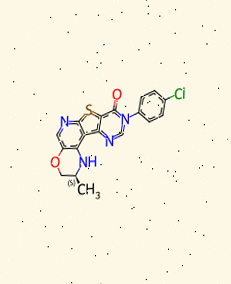 C[C@H]1COc2cnc3sc4c(=O)n(-c5ccc(Cl)cc5)cnc4c3c2N1